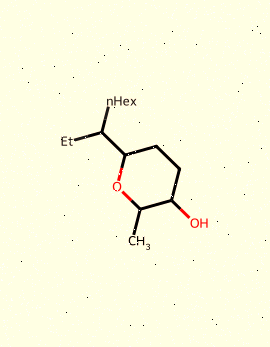 CCCCCCC(CC)C1CCC(O)C(C)O1